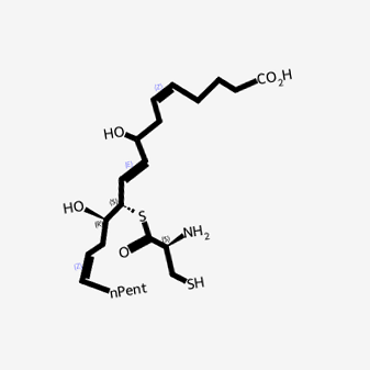 CCCCC/C=C\C[C@@H](O)[C@H](/C=C/C(O)C/C=C\CCCC(=O)O)SC(=O)[C@@H](N)CS